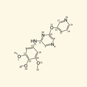 COc1cc(Nc2cncc(Oc3cccnc3)n2)cc(OC)c1OC